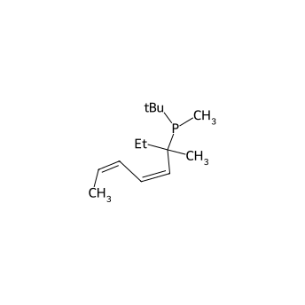 C/C=C\C=C/C(C)(CC)P(C)C(C)(C)C